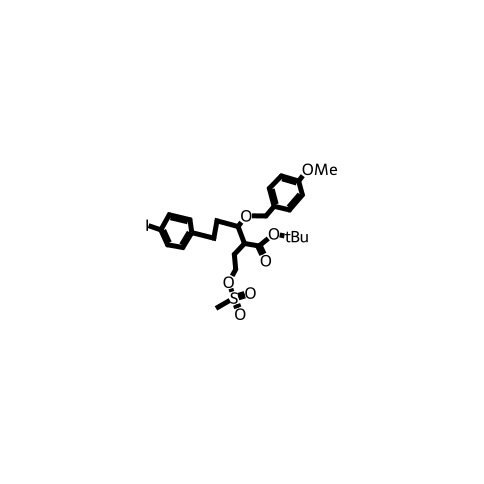 COc1ccc(COC(CCc2ccc(I)cc2)C(CCOS(C)(=O)=O)C(=O)OC(C)(C)C)cc1